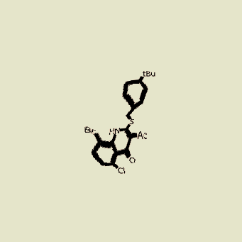 CC(=O)c1c(SCc2ccc(C(C)(C)C)cc2)[nH]c2c(Br)ccc(Cl)c2c1=O